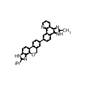 Cc1nc2c3cccnc3c3cc(-c4ccc5c(c4)COc4c-5ccc5[nH]c(C(C)C)nc45)ccc3c2[nH]1